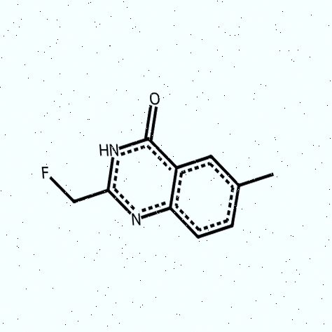 Cc1ccc2nc(CF)[nH]c(=O)c2c1